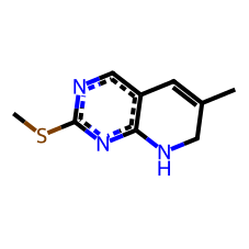 CSc1ncc2c(n1)NCC(C)=C2